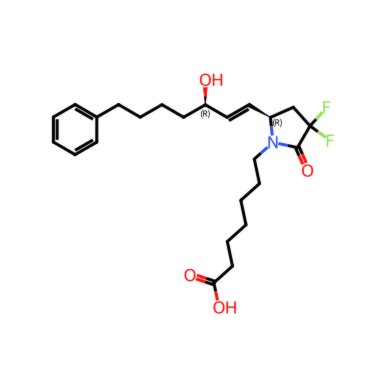 O=C(O)CCCCCCN1C(=O)C(F)(F)C[C@@H]1C=C[C@H](O)CCCCc1ccccc1